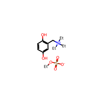 CCOS(=O)(=O)[O-].CC[N+](CC)(CC)Cc1cc(O)ccc1O